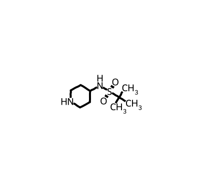 CC(C)(C)S(=O)(=O)NC1CCNCC1